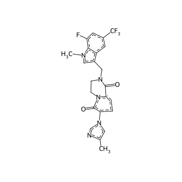 Cc1cn(-c2ccc3n(c2=O)CCN(Cc2cn(C)c4c(F)cc(C(F)(F)F)cc24)C3=O)cn1